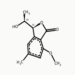 COc1cc(C)cc2c1C(=O)O[C@@H]2[C@H](C)O